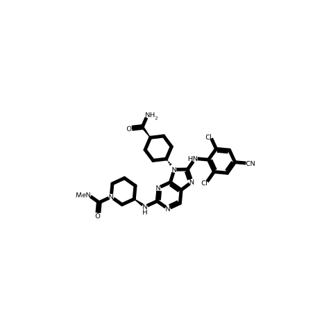 CNC(=O)N1CCC[C@@H](Nc2ncc3nc(Nc4c(Cl)cc(C#N)cc4Cl)n([C@H]4CC[C@H](C(N)=O)CC4)c3n2)C1